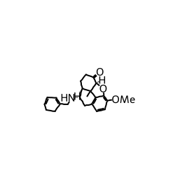 COc1ccc2c3c1O[C@@H]1C(=O)CC[C@H]([C@@H](NCC4=CC=CCC4)C2)C31C